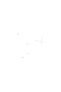 CCC(=O)OC.O=C(OC(F)C(F)(F)C(F)(F)F)OC(F)C(F)(F)C(F)(F)F